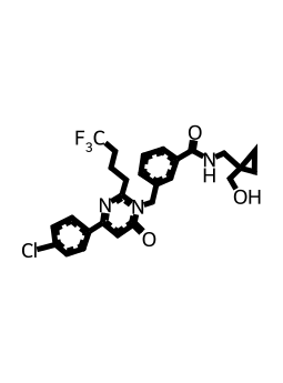 O=C(NCC1(CO)CC1)c1cccc(Cn2c(CCCC(F)(F)F)nc(-c3ccc(Cl)cc3)cc2=O)c1